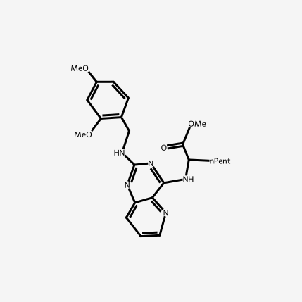 CCCCCC(Nc1nc(NCc2ccc(OC)cc2OC)nc2cccnc12)C(=O)OC